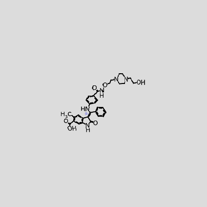 Cc1cc2c(cc1C(=O)O)NC(=O)/C2=C(/Nc1ccc(C(=O)NOCCN2CCN(CCO)CC2)cc1)c1ccccc1